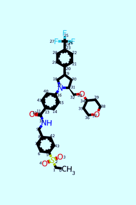 CCS(=O)(=O)c1ccc(CNC(=O)c2ccc(N3CC(c4ccc(C(F)(F)F)cc4)C[C@H]3COC3CCOCC3)cc2)cc1